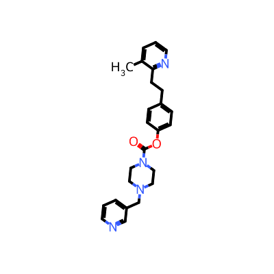 Cc1cccnc1CCc1ccc(OC(=O)N2CCN(Cc3cccnc3)CC2)cc1